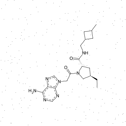 CC[C@@H]1C[C@@H](C(=O)NCC2CC(C)C2)N(C(=O)Cn2cnc3c(N)ncnc32)C1